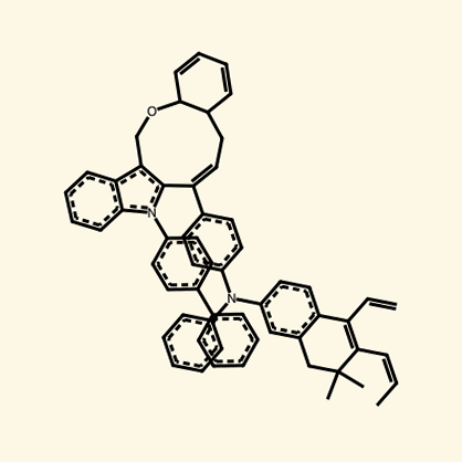 C=CC1=C(/C=C\C)C(C)(C)Cc2cc(N(c3ccccc3)c3ccc(/C4=C/CC5C=CC=CC5OCc5c4n(-c4ccc(-c6ccccc6)cc4)c4ccccc54)cc3)ccc21